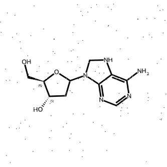 Nc1ncnc2c1NCN2C1C[C@H](O)[C@@H](CO)O1